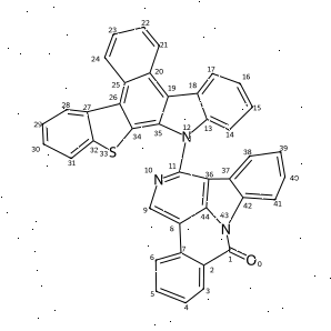 O=c1c2ccccc2c2cnc(-n3c4ccccc4c4c5ccccc5c5c6ccccc6sc5c43)c3c4ccccc4n1c23